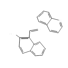 Cc1ccc2ccccc2c1C=O.c1ccc2ncccc2c1